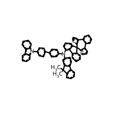 CC1(C)c2ccccc2-c2ccc(N(c3ccc(-c4ccc(-n5c6ccccc6c6ccccc65)cc4)cc3)c3cccc4c3-c3ccccc3C43c4ccccc4-c4ccccc4-c4ccccc43)cc21